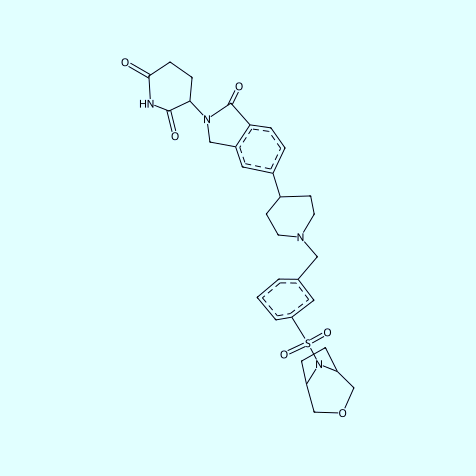 O=C1CCC(N2Cc3cc(C4CCN(Cc5cccc(S(=O)(=O)N6C7CCC6COC7)c5)CC4)ccc3C2=O)C(=O)N1